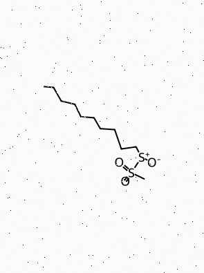 CCCCCCCCCC[S+]([O-])S(C)(=O)=O